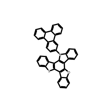 c1ccc2c(c1)oc1c2c2sc3ccccc3c2c2c1c1ccccc1n2-c1ccc2c3ccccc3c3ccccc3c2c1